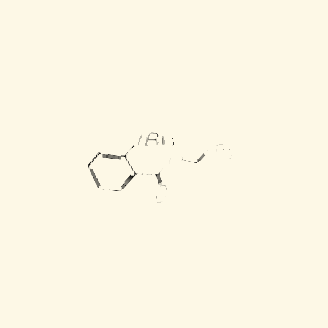 C=COC(=O)c1ccccc1C(C)(C)C